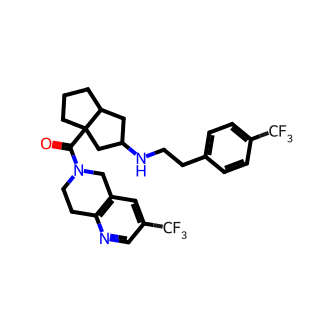 O=C(N1CCc2ncc(C(F)(F)F)cc2C1)C12CCCC1CC(NCCc1ccc(C(F)(F)F)cc1)C2